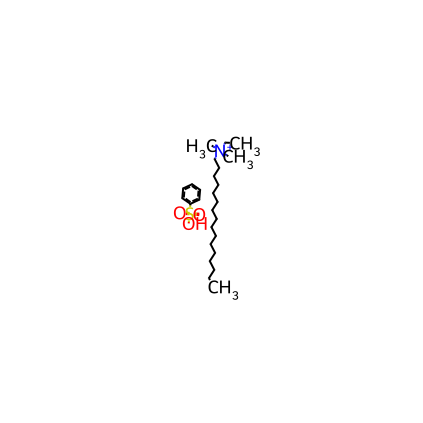 CCCCCCCCCCCCCCCC[N+](C)(C)CC.O=S(=O)(O)c1ccccc1